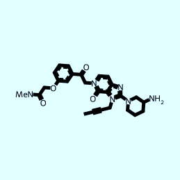 CC#CCn1c(N2CCCC(N)C2)nc2ccn(CC(=O)c3cccc(OCC(=O)NC)c3)c(=O)c21